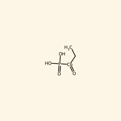 C[CH2][Co](=[O])[P](=O)(O)O